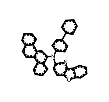 c1ccc(-c2ccc(N(c3ccc4oc5ccccc5c4n3)c3cc4c5ccccc5ccc4c4ccccc34)cc2)cc1